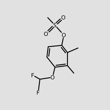 Cc1c(OC(F)F)ccc(OS(C)(=O)=O)c1C